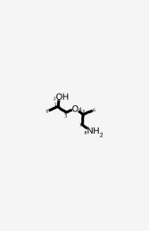 CC(O)COC(C)CN